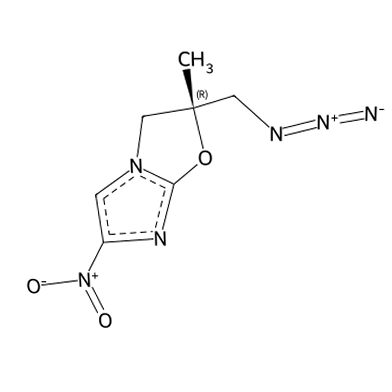 C[C@]1(CN=[N+]=[N-])Cn2cc([N+](=O)[O-])nc2O1